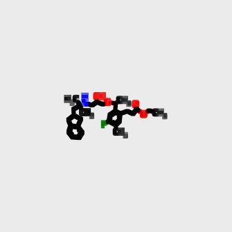 CCOC(=O)CCc1cc(C)c(F)cc1[C@@H](C)OC[C@H](O)CNC(C)(C)CC1Cc2ccccc2C1